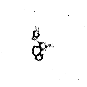 Nc1nc2c(c(N3CC4CNCC43)n1)CCCc1ccccc1-2